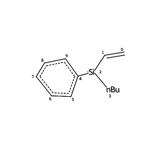 C=C[Si](CCCC)c1ccccc1